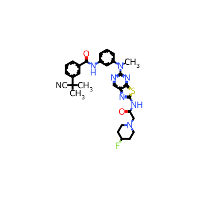 CN(c1cccc(NC(=O)c2cccc(C(C)(C)C#N)c2)c1)c1ncc2nc(NC(=O)CN3CCC(F)CC3)sc2n1